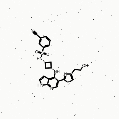 N#Cc1cccc(S(=O)(=O)N[C@H]2C[C@@H](Nc3c(-c4nc(CCO)cs4)cnc4[nH]ccc34)C2)c1